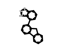 c1ccc2c(c1)Cc1c-2cccc1-c1cccc2nn[nH]c12